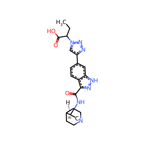 CCC(C(=O)O)n1cc(-c2ccc3c(C(=O)N[C@H]4CN5CCC4CC5)n[nH]c3c2)nn1